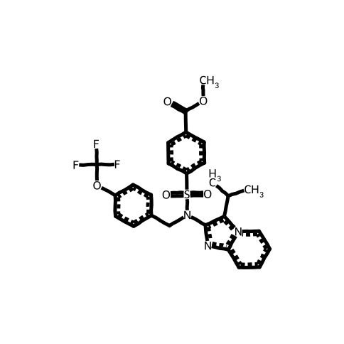 COC(=O)c1ccc(S(=O)(=O)N(Cc2ccc(OC(F)(F)F)cc2)c2nc3ccccn3c2C(C)C)cc1